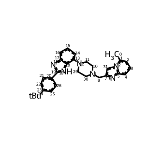 Cc1cccc2nc(CN3CCN(c4cccc5nc(-c6ccc(C(C)(C)C)cc6)[nH]c45)CC3)cn12